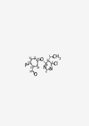 CCc1c(Cl)ncnc1Oc1ccc(F)c(C=O)c1